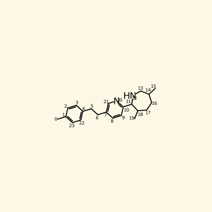 Cc1ccc(CCc2ccc(C3NCC(C)CCC3C)nc2)cc1